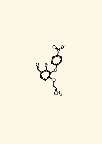 C=CCOc1ccc(C=O)c(Br)c1Oc1ccc([N+](=O)[O-])cc1